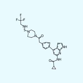 O=C(Nc1cc(-c2ccc(CC(=O)N3CCN(SNCC(F)(F)F)CC3)cc2)c2cc[nH]c2n1)C1CC1